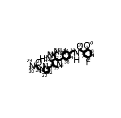 COc1ccc(F)cc1C(=O)NCc1ccc(-c2ncc(-c3ccn(CC(=O)N(C)C)n3)c3[nH]nc(N)c23)cc1